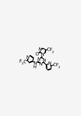 O=c1ncc(C(F)(F)F)cn1-c1nc(Nc2ccnc(C(F)(F)F)c2)nc(-c2cccc(C(F)(F)F)n2)n1